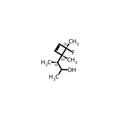 CC(O)[C@@H](C)[C@]1(C)C=C[C@]1(C)F